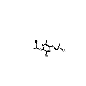 C#CC(C)Oc1nc(C)c(/N=C/N(C)CC)cc1Br